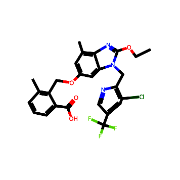 CCOc1nc2c(C)cc(OCc3c(C)cccc3C(=O)O)cc2n1Cc1ncc(C(F)(F)F)cc1Cl